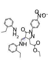 CCOC(=O)CC1=NN(c2ccc([N+](=O)[O-])cc2)C(=O)/C1=C/Nc1ccccc1CC.CCc1ccccc1N